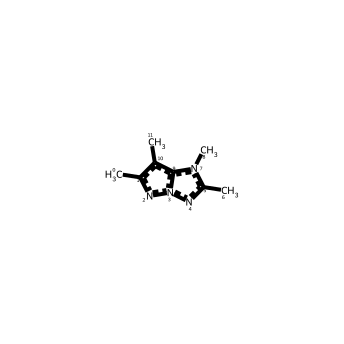 Cc1nn2nc(C)n(C)c2c1C